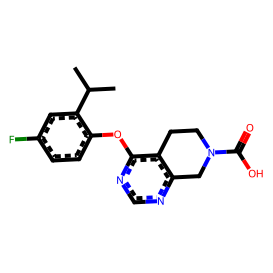 CC(C)c1cc(F)ccc1Oc1ncnc2c1CCN(C(=O)O)C2